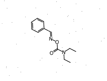 CCN(CC)C(=O)ON=Cc1ccccc1